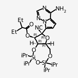 CCC(CC)C(=O)O[C@@H]1[C@@H]2O[Si](C(C)C)(C(C)C)O[Si](C(C)C)(C(C)C)OC[C@H]2O[C@@]1(C#N)c1ccc2c(N)ncnn12